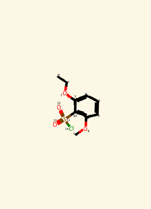 CCOc1cccc(OC)c1S(=O)(=O)Cl